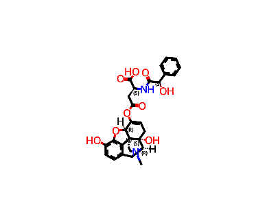 CN1CC[C@]23c4c5ccc(O)c4O[C@H]2C(OC(=O)C[C@H](NC(=O)[C@@H](O)c2ccccc2)C(=O)O)=CC[C@@]3(O)[C@H]1C5